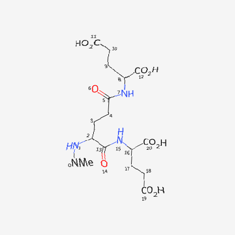 CNNC(CCC(=O)NC(CCC(=O)O)C(=O)O)C(=O)NC(CCC(=O)O)C(=O)O